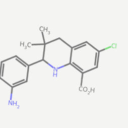 CC1(C)Cc2cc(Cl)cc(C(=O)O)c2NC1c1cccc(N)c1